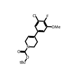 COc1cc(C2=CCN(C(=O)OC(C)(C)C)CC2)cc(Cl)c1F